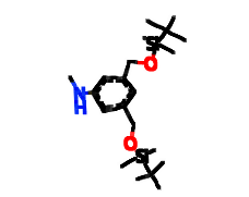 CNc1cc(CO[Si](C)(C)C(C)(C)C)cc(CO[Si](C)(C)C(C)(C)C)c1